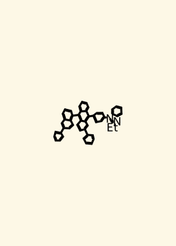 CCc1nc2ccccc2n1-c1ccc(-c2c3ccccc3c(-c3cccc4cc(-c5ccccc5)ccc34)c3ccc(-c4ccccc4)cc23)cc1